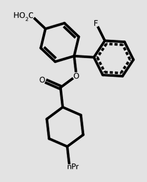 CCCC1CCC(C(=O)OC2(c3ccccc3F)C=CC(C(=O)O)C=C2)CC1